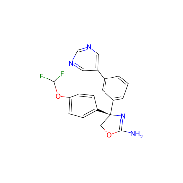 NC1=N[C@@](c2ccc(OC(F)F)cc2)(c2cccc(-c3cncnc3)c2)CO1